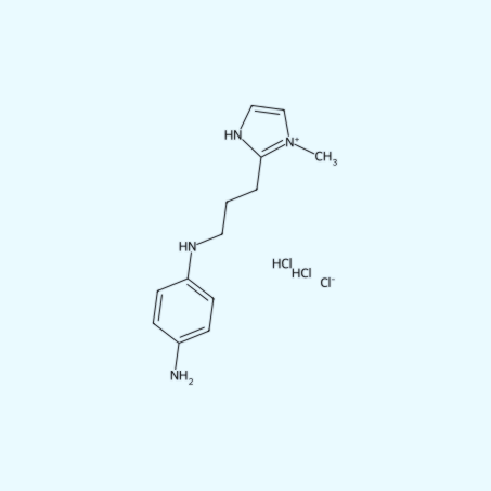 C[n+]1cc[nH]c1CCCNc1ccc(N)cc1.Cl.Cl.[Cl-]